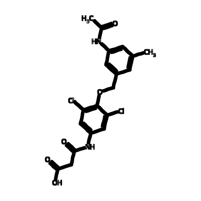 CC(=O)Nc1cc(C)cc(COc2c(Cl)cc(NC(=O)CC(=O)O)cc2Cl)c1